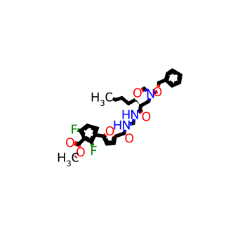 CCCCC[C@H](CN(C=O)OCc1ccccc1)C(=O)NCNC(=O)c1ccc(-c2ccc(F)c(C(=O)OC)c2F)o1